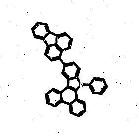 c1ccc(-n2c3ccc(-c4ccc5c6c(cccc46)-c4ccccc4-5)cc3c3c4ccccc4c4ccccc4c32)cc1